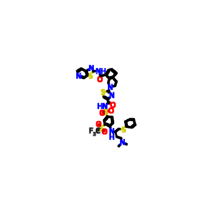 CN(C)CC[C@H](CSc1ccccc1)Nc1ccc(S(=O)(=O)NC(=O)c2csc(N3CCc4cccc(C(=O)Nc5nc6ccncc6s5)c4C3)n2)cc1S(=O)(=O)C(F)(F)F